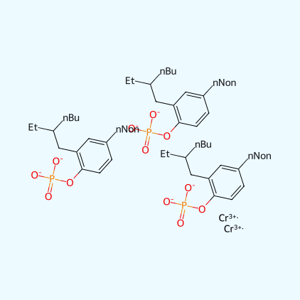 CCCCCCCCCc1ccc(OP(=O)([O-])[O-])c(CC(CC)CCCC)c1.CCCCCCCCCc1ccc(OP(=O)([O-])[O-])c(CC(CC)CCCC)c1.CCCCCCCCCc1ccc(OP(=O)([O-])[O-])c(CC(CC)CCCC)c1.[Cr+3].[Cr+3]